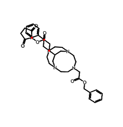 O=C(CN1CCN2CCN(CCc3ccccc3)CCN(CC1)CC(CCC(=O)ON1C(=O)CCC1=O)C2)OCc1ccccc1